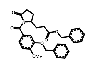 COc1ccc(C(=O)N2C(=O)CCC2CCC(=O)OCc2ccccc2)cc1OCc1ccccc1